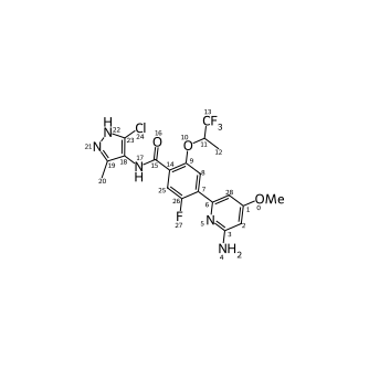 COc1cc(N)nc(-c2cc(OC(C)C(F)(F)F)c(C(=O)Nc3c(C)n[nH]c3Cl)cc2F)c1